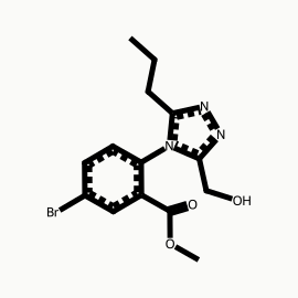 CCCc1nnc(CO)n1-c1ccc(Br)cc1C(=O)OC